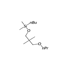 CCCC[Si](C)(C)OCC(C)(C)COCCC